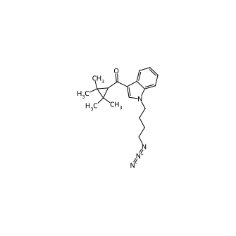 CC1(C)C(C(=O)c2cn(CCCCN=[N+]=[N-])c3ccccc23)C1(C)C